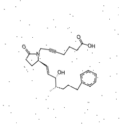 C[C@@H](CCCc1ccccc1)[C@@H](O)C=C[C@H]1CCC(=O)N1CC#CCCCC(=O)O